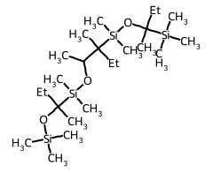 CCC(C)(O[Si](C)(C)C(C)(CC)C(C)O[Si](C)(C)C(C)(CC)O[Si](C)(C)C)[Si](C)(C)C